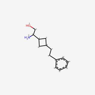 NC(CO)C1CC(CCc2ccccc2)C1